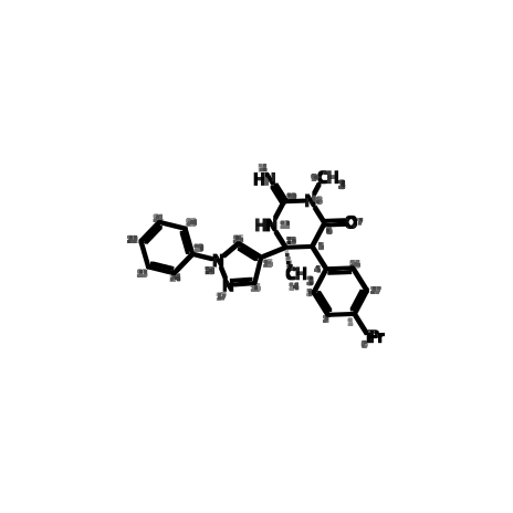 CC(C)c1ccc(C2C(=O)N(C)C(=N)N[C@]2(C)c2cnn(-c3ccccc3)c2)cc1